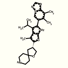 Cc1c(-c2[nH]c3sc([C@@H]4COC5(CCNCC5)C4)c(C)c3c2C(C)C)cn2ncnc2c1C